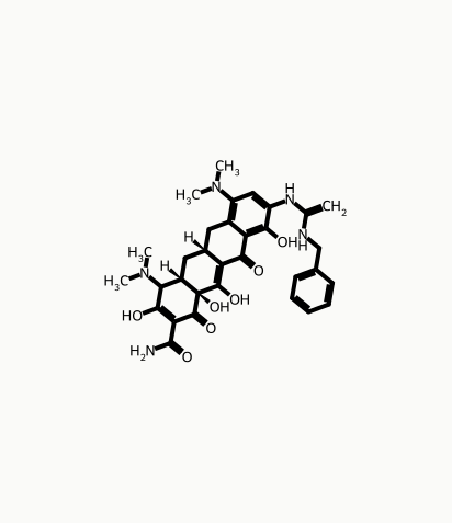 C=C(NCc1ccccc1)Nc1cc(N(C)C)c2c(c1O)C(=O)C1=C(O)[C@]3(O)C(=O)C(C(N)=O)=C(O)C(N(C)C)[C@@H]3C[C@@H]1C2